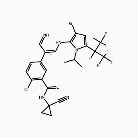 CC(C)n1c(C(F)(C(F)(F)F)C(F)(F)F)cc(Br)c1N/C=C(\C=N)c1ccc(Cl)c(C(=O)NC2(C#N)CC2)c1